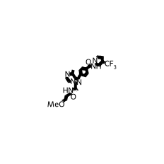 COCC=CC(=O)N[C@@H](C)c1nc(-c2ccc(C(=O)Nc3cc(C(F)(F)F)ccn3)cc2)c2c(C)nccn12